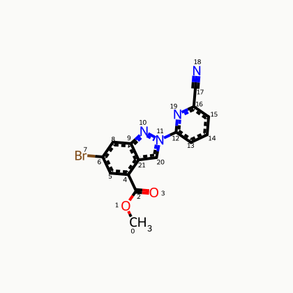 COC(=O)c1cc(Br)cc2nn(-c3cccc(C#N)n3)cc12